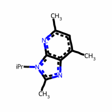 Cc1cc(C)c2nc(C)n(C(C)C)c2n1